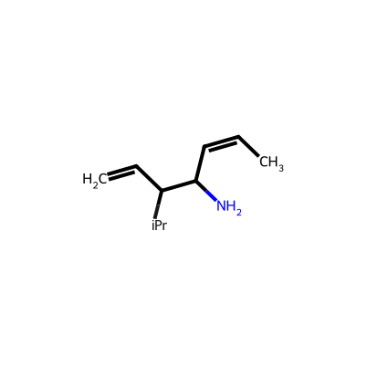 C=CC(C(C)C)C(N)/C=C\C